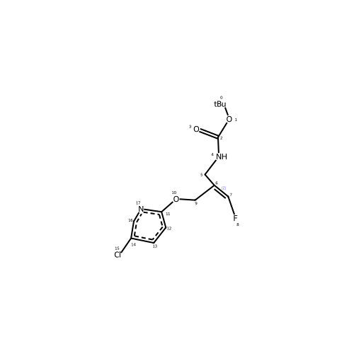 CC(C)(C)OC(=O)NC/C(=C/F)COc1ccc(Cl)cn1